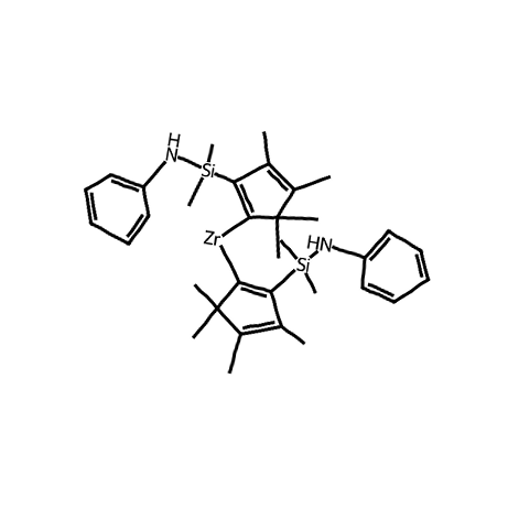 CC1=C(C)C(C)(C)[C]([Zr][C]2=C([Si](C)(C)Nc3ccccc3)C(C)=C(C)C2(C)C)=C1[Si](C)(C)Nc1ccccc1